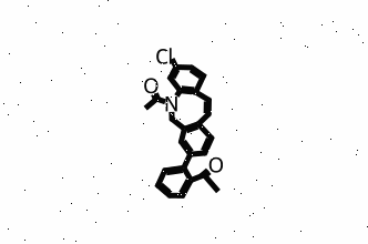 CC(=O)c1ccccc1-c1ccc2c(c1)CN(C(C)=O)c1cc(Cl)ccc1/C=C\2